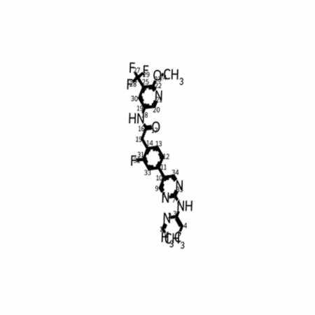 C/C=N\C(=C/C)Nc1ncc(-c2ccc(CC(=O)Nc3cnc(OC)c(C(F)(F)F)c3)c(F)c2)cn1